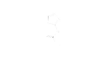 CC(=S)Nc1ncc[nH]1.Cl